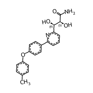 Cc1ccc(Oc2ccc(-c3cccc([C@@H](O)[C@H](O)C(N)=O)n3)cc2)cc1